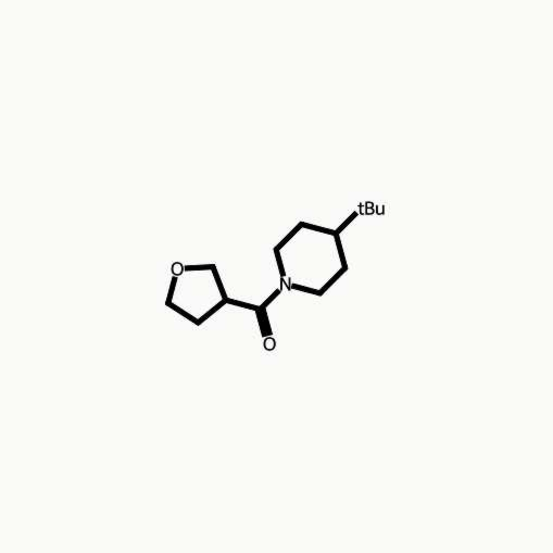 CC(C)(C)C1CCN(C(=O)C2CCOC2)CC1